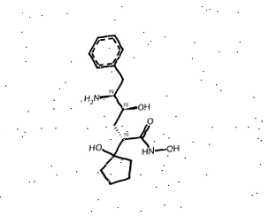 N[C@@H](Cc1ccccc1)[C@@H](O)C[C@H](C(=O)NO)C1(O)CCCC1